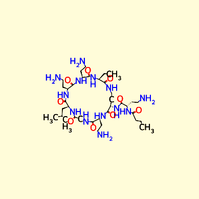 CCCC(=O)N[C@@H](CCN)C(=O)N[C@H]1CCNC(=O)[C@H](CC)NC(=O)[C@H](CCN)NC(=O)[C@H](CCN)NC(=O)[C@H](CC(C)C)NC(=O)CNC(=O)[C@H](CCN)NC1=O